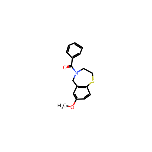 COc1ccc2c(c1)CN(C(=O)c1ccccc1)CCS2